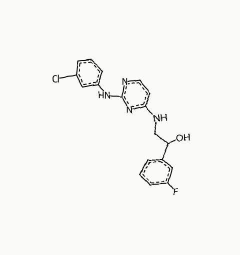 OC(CNc1ccnc(Nc2cccc(Cl)c2)n1)c1cccc(F)c1